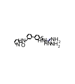 CC(C)(NSc1ccc(-c2cccc(CNC(=O)c3ccccn3)c2)cc1)/C(=C/N)NN